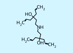 C=CCC(O)(CC=C)CCNCCC(O)(CC=C)CC=C